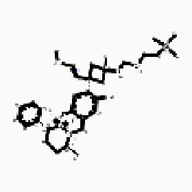 CO/C=C/[C@]1(c2cc(F)c(CN3[C@@H](C)CC[C@H](c4ccccc4)S3(=O)=O)cc2F)C[C@@](C)(OCOCC[Si](C)(C)C)C1